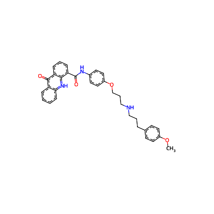 COc1ccc(CCCNCCCOc2ccc(NC(=O)c3cccc4c(=O)c5ccccc5[nH]c34)cc2)cc1